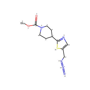 CC(C)(C)OC(=O)N1CCC(c2ncc(CN=[N+]=[N-])s2)CC1